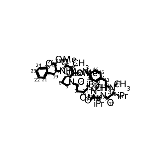 CC[C@H](C)[C@@H]([C@@H](CC(=O)N1CCC[C@H]1[C@H](OC)[C@@H](C)C(=O)N[C@@H](Cc1ccccc1)C(=O)OC)OC)N(C)C(=O)[C@@H](NC(=O)[C@H](C(C)C)N(C)CCc1ccc(NC)cc1)C(C)C